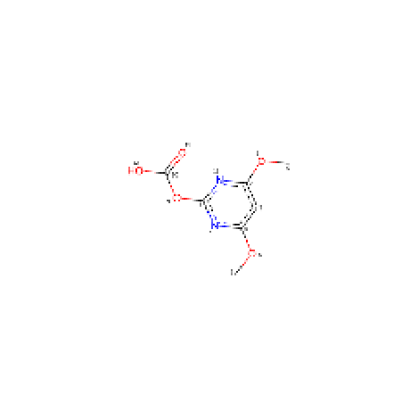 COc1cc(OC)nc(OC(=O)O)n1